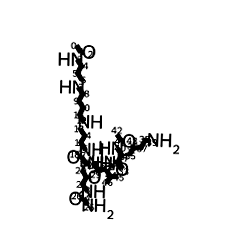 CC(=O)NCCCNCCCCNCCCNC(=O)[C@H](CCCNC(N)=O)NC(=O)C(NC(=O)[C@H](CCCCN)NC(C)=O)C(C)C